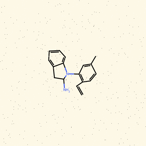 [CH2]c1ccc(C=C)c(N2c3ccccc3CC2N)c1